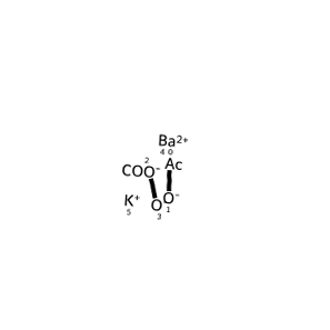 CC(=O)[O-].O=C([O-])[O-].[Ba+2].[K+]